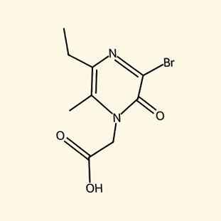 CCc1nc(Br)c(=O)n(CC(=O)O)c1C